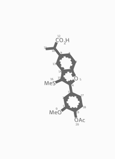 COc1cc(-c2oc3ccc(C(C)C(=O)O)cc3c2SC)ccc1OC(C)=O